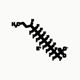 CCCC(F)C(F)(F)C(F)(F)C(F)(F)C(F)(F)C(F)(F)C(F)(F)C(F)(F)C(F)(F)S(=O)(=O)[O-].[K+]